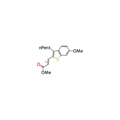 CCCCCc1c(/C=C/C(=O)OC)sc2cc(OC)ccc12